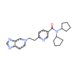 O=C(c1ccc(CCn2ccc3ncnc-3c2)nc1)N(C1CCCC1)C1CCCC1